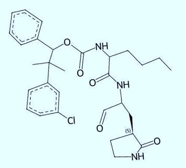 CCCCC(NC(=O)OC(c1ccccc1)C(C)(C)c1cccc(Cl)c1)C(=O)NC(C=O)C[C@@H]1CCNC1=O